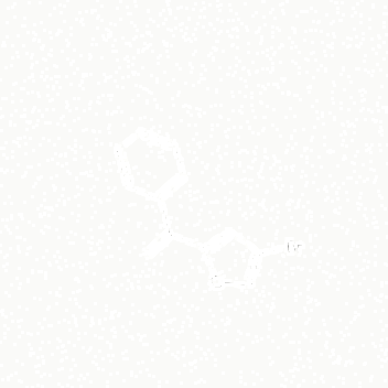 C=C(c1ccccc1)c1cc(Br)co1